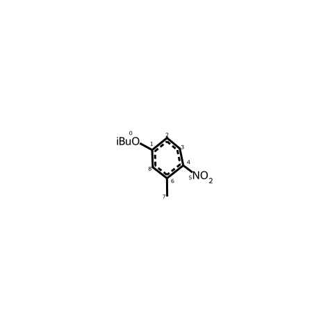 C[C](C)COc1ccc([N+](=O)[O-])c(C)c1